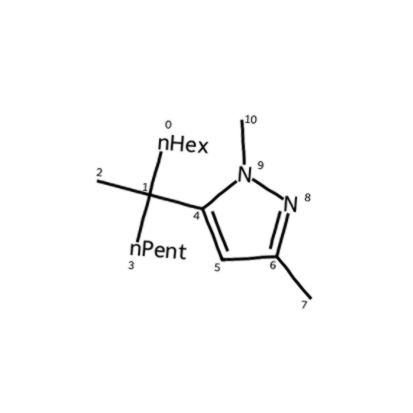 CCCCCCC(C)(CCCCC)c1cc(C)nn1C